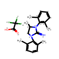 Cc1cccc(C)c1N1CC(C)N(c2c(C)cccc2C)C1=N.O=C(O)C(F)(F)F